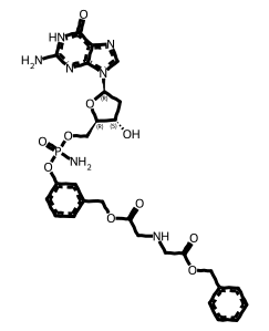 Nc1nc2c(ncn2[C@H]2C[C@H](O)[C@@H](COP(N)(=O)Oc3cccc(COC(=O)CNCC(=O)OCc4ccccc4)c3)O2)c(=O)[nH]1